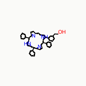 OCCc1cccc(-c2cc3cc4nc(c(-c5ccccc5)c5ccc([nH]5)c(-c5ccccc5)c5nc(c(-c6ccccc6)c2[nH]3)C=C5)C=C4)c1